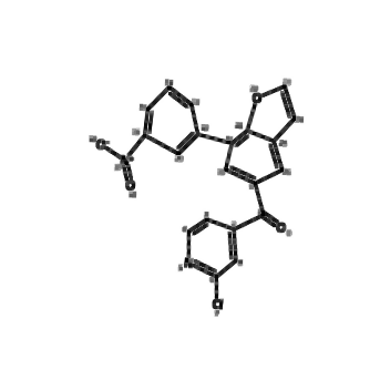 O=C(c1ccnc(Cl)c1)c1cc(-c2cccc([N+](=O)[O-])c2)c2occc2c1